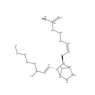 CCCCCC(C)/C=C/[C@H]1C2CC(OO2)[C@@H]1C/C=C\CCCC(=O)O